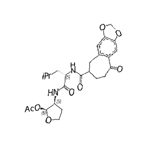 CC(=O)O[C@@H]1OCC[C@@H]1NC(=O)[C@H](CC(C)C)NC(=O)C1CCC(=O)c2cc3c(cc2C1)OCO3